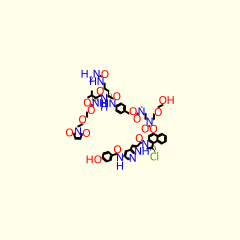 CC(C)[C@H](NC(=O)OCCOCCN1C(=O)C=CC1=O)C(=O)N[C@@H](CCCNC(N)=O)C(=O)Nc1ccc(COC(=O)N(C)CCN(CCOCCO)C(=O)Oc2cc3c(c4ccccc24)[C@H](CCl)CN3C(=O)c2cc3cc(NC(=O)c4ccc(O)cc4)cnc3[nH]2)cc1